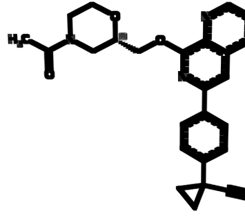 CC(=O)N1CCO[C@H](COc2nc(-c3ccc(C4(C#N)CC4)cc3)cc3nccnc23)C1